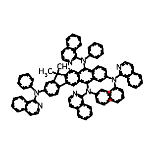 CC1(C)c2cc(N(c3ccccc3)c3nccc4ccccc34)ccc2-c2cc3c(N(c4ccccc4)c4nccc5ccccc45)c4cc(N(c5ccccc5)c5nccc6ccccc56)ccc4c(N(c4ccccc4)c4nccc5ccccc45)c3cc21